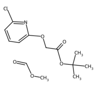 CC(C)(C)OC(=O)COc1cccc(Cl)n1.COC=O